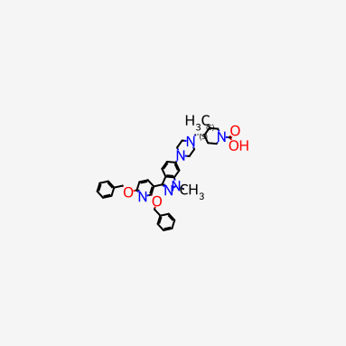 C[C@@H]1CN(C(=O)O)CC[C@@H]1CN1CCN(c2ccc3c(-c4ccc(OCc5ccccc5)nc4OCc4ccccc4)nn(C)c3c2)CC1